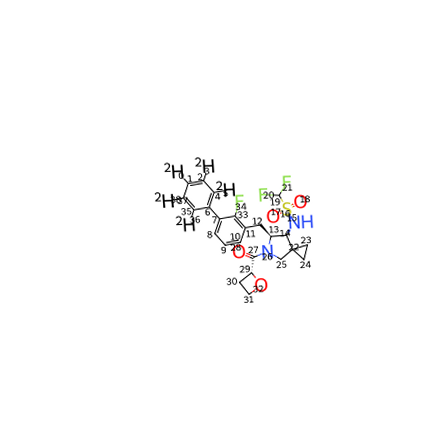 [2H]c1c([2H])c([2H])c(-c2cccc(C[C@H]3[C@@H](NS(=O)(=O)C(F)F)C4(CC4)CN3C(=O)[C@H]3CCO3)c2F)c([2H])c1[2H]